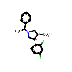 CC(c1ccccc1)N1C[C@@H](C(=O)O)[C@H](c2ccc(F)cc2F)C1